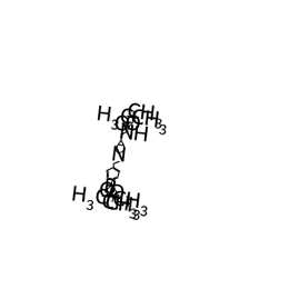 CC(C)(C)OC(=O)NCC1C2CN(CCc3ccc(B4OC(C)(C)C(C)(C)O4)cc3)CC12